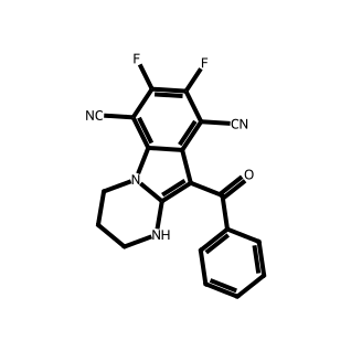 N#Cc1c(F)c(F)c(C#N)c2c1c(C(=O)c1ccccc1)c1n2CCCN1